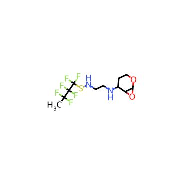 CC(F)(F)C(F)(F)C(F)(F)SNCCNC1CCOC2OC12